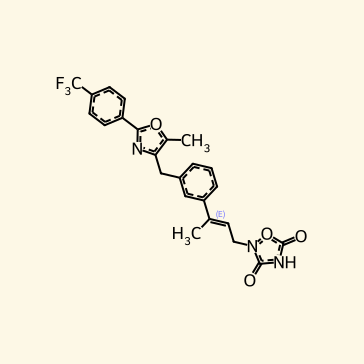 C/C(=C\Cn1oc(=O)[nH]c1=O)c1cccc(Cc2nc(-c3ccc(C(F)(F)F)cc3)oc2C)c1